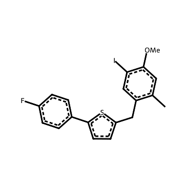 COc1cc(C)c(Cc2ccc(-c3ccc(F)cc3)s2)cc1I